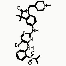 CC(C)S(=O)(=O)c1ccccc1Nc1nc(Nc2ccc3c(c2)C(C)(C)C(=O)N3CC2CCN(C)CC2)ncc1Br